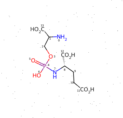 NC(COP(=O)(O)N[C@@H](CCC(=O)O)C(=O)O)C(=O)O